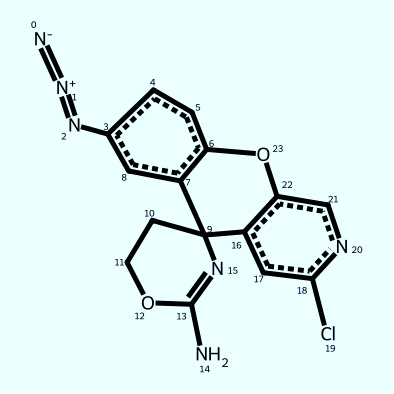 [N-]=[N+]=Nc1ccc2c(c1)C1(CCOC(N)=N1)c1cc(Cl)ncc1O2